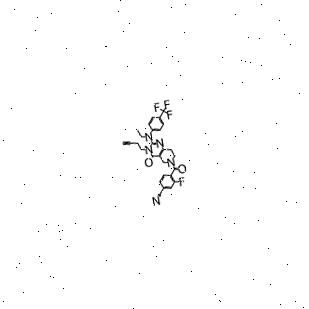 C#CCCn1c(N(CC)c2ccc(C(F)(F)F)cc2)nc2c(c1=O)CN(C(=O)c1ccc(C#N)cc1F)CC2